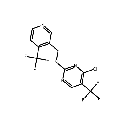 FC(F)(F)c1ccncc1CNc1ncc(C(F)(F)F)c(Cl)n1